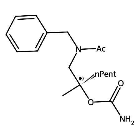 CCCCC[C@](C)(CN(Cc1ccccc1)C(C)=O)OC(N)=O